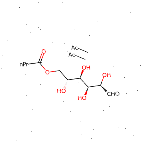 CC(C)=O.CC(C)=O.CCCC(=O)OC[C@@H](O)[C@@H](O)[C@H](O)[C@@H](O)C=O